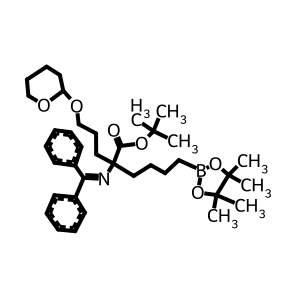 CC(C)(C)OC(=O)C(CCCCB1OC(C)(C)C(C)(C)O1)(CCCOC1CCCCO1)N=C(c1ccccc1)c1ccccc1